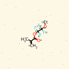 C=C(C)C(=O)OC(F)(F)C(F)(F)OCC